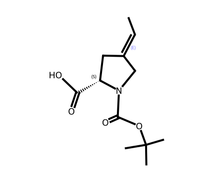 C/C=C1\C[C@@H](C(=O)O)N(C(=O)OC(C)(C)C)C1